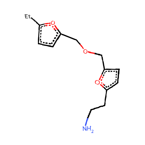 CCc1ccc(COCc2ccc(CCN)o2)o1